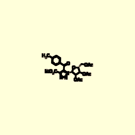 CCOC(=O)c1nnn([C@@H]2O[C@H](COC(C)=O)[C@@H](OC(C)=O)[C@H]2OC(C)=O)c1C(=O)c1ccc(C)cc1